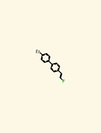 CCc1ccc(-c2ccc(C=CF)cc2)cc1